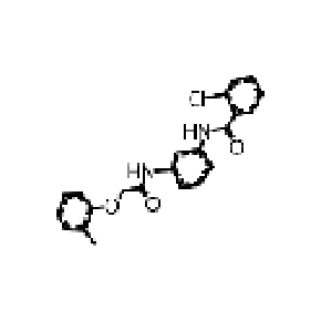 Cc1ccccc1OCC(=O)Nc1cccc(NC(=O)c2ccccc2Cl)c1